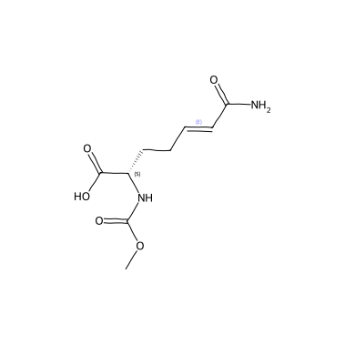 COC(=O)N[C@@H](CC/C=C/C(N)=O)C(=O)O